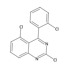 Clc1nc(-c2ccccc2Cl)c2c(Cl)cccc2n1